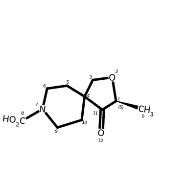 C[C@@H]1OCC2(CCN(C(=O)O)CC2)C1=O